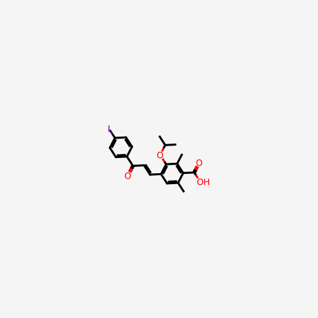 Cc1cc(/C=C/C(=O)c2ccc(I)cc2)c(OC(C)C)c(C)c1C(=O)O